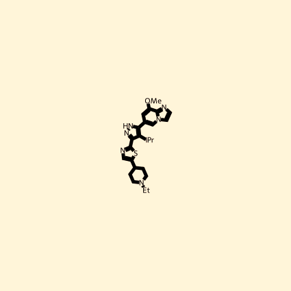 CCN1CCC(c2cnc(-c3n[nH]c(-c4cc(OC)c5nccn5c4)c3C(C)C)s2)CC1